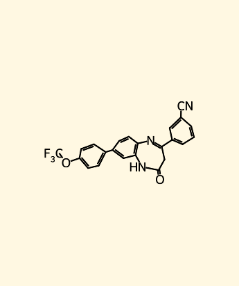 N#Cc1cccc(C2=Nc3ccc(-c4ccc(OC(F)(F)F)cc4)cc3NC(=O)C2)c1